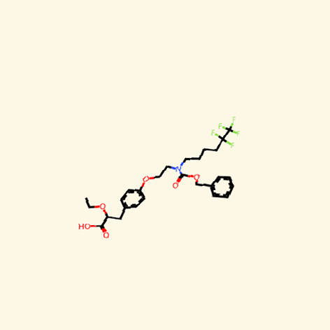 CCOC(Cc1ccc(OCCN(CCCCC(F)(F)C(F)(F)F)C(=O)OCc2ccccc2)cc1)C(=O)O